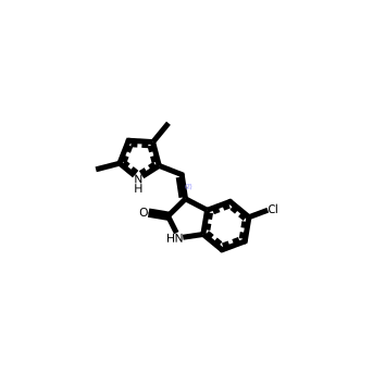 Cc1cc(C)c(/C=C2\C(=O)Nc3ccc(Cl)cc32)[nH]1